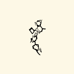 Cc1ccc(-c2cc(NCC(C)c3cncnc3OC3CCC3)ncn2)cn1